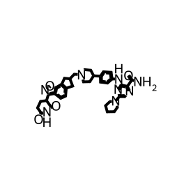 NC(=O)c1ncc(N2CCCCC2)nc1Nc1ccc(C2CCN(CC3Cc4ccc5c(C6CCC(=O)NC6=O)noc5c4C3)CC2)cc1